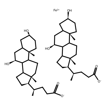 C[C@H](CCC(=O)[O-])[C@H]1CCC2C3C(CC[C@@]21C)[C@@]1(C)CC[C@H](O)CC1C[C@@H]3O.C[C@H](CCC(=O)[O-])[C@H]1CCC2C3C(CC[C@@]21C)[C@@]1(C)CC[C@H](O)CC1C[C@@H]3O.[Fe+2]